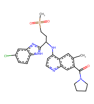 Cc1cc2c(NC(CCS(C)(=O)=O)c3nc4cc(Cl)ccc4[nH]3)ccnc2cc1C(=O)N1CCCC1